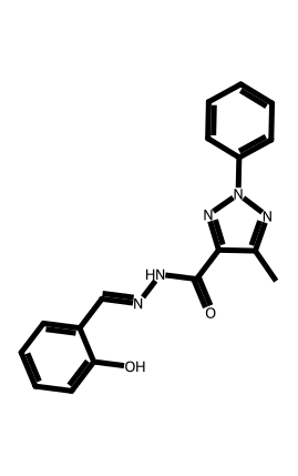 Cc1nn(-c2ccccc2)nc1C(=O)N/N=C/c1ccccc1O